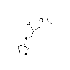 COC(COC(C)C)CSc1ccsc1